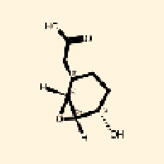 O=C(O)C[C@H]1CC[C@H](O)[C@@H]2O[C@H]12